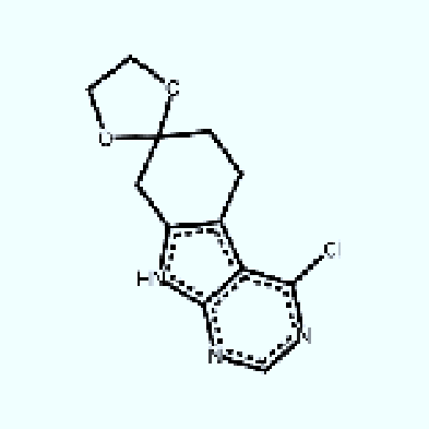 Clc1ncnc2[nH]c3c(c12)CCC1(C3)OCCO1